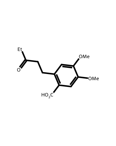 CCC(=O)CCc1cc(OC)c(OC)cc1C(=O)O